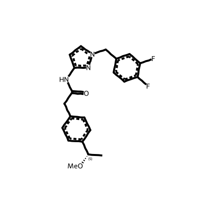 CO[C@@H](C)c1ccc(CC(=O)Nc2ccn(Cc3ccc(F)c(F)c3)n2)cc1